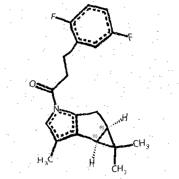 Cc1cn(C(=O)CCc2cc(F)ccc2F)c2c1[C@H]1[C@@H](C2)C1(C)C